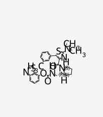 Cc1cccc(-c2sc(N(C)C)nc2C(=O)N2[C@H]3CC[C@H](C3)[C@@H]2CNC(=O)Oc2cccc3ncsc23)c1